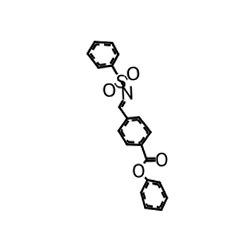 O=C(Oc1ccccc1)c1ccc(C=NS(=O)(=O)c2ccccc2)cc1